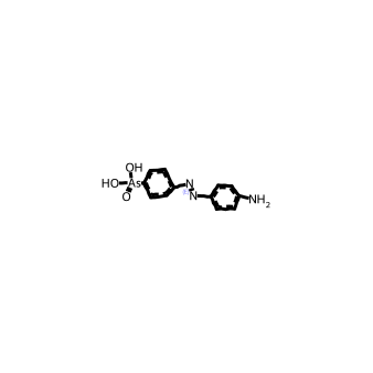 Nc1ccc(/N=N/c2ccc([As](=O)(O)O)cc2)cc1